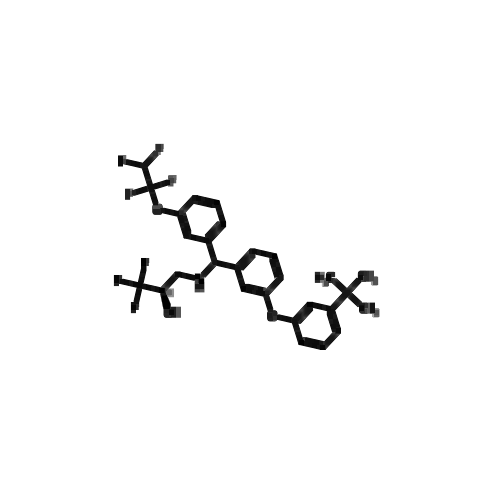 CC(C)(C)c1cccc(Oc2cccc(C(NC[C@@H](O)C(F)(F)F)c3cccc(OC(F)(F)C(F)F)c3)c2)c1